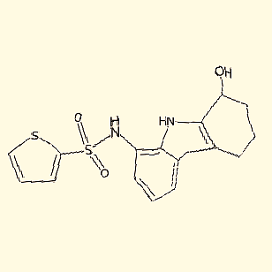 O=S(=O)(Nc1cccc2c3c([nH]c12)C(O)CCC3)c1cccs1